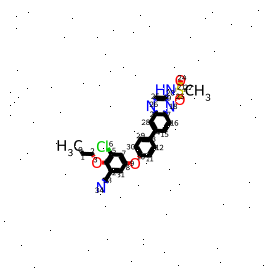 CCCOc1c(Cl)cc(Oc2ccc(-c3ccc4nc(NS(C)(=O)=O)cnc4c3)cc2)cc1C#N